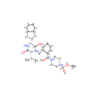 CCC(CC)[C@@H]1C(=O)N[C@H](C2Cc3ccccc3C2)C(=O)N1Cc1ccccc1C(=O)N1CCN(C(=O)OC(C)(C)C)CC1